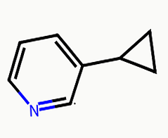 [c]1ncccc1C1CC1